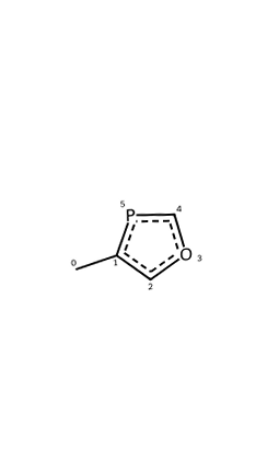 Cc1cocp1